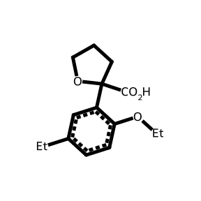 CCOc1ccc(CC)cc1C1(C(=O)O)CCCO1